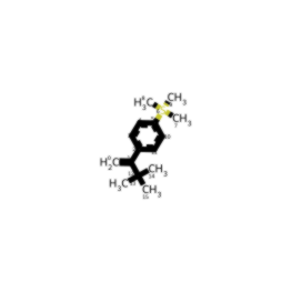 C=C(c1ccc(S(C)(C)C)cc1)C(C)(C)C